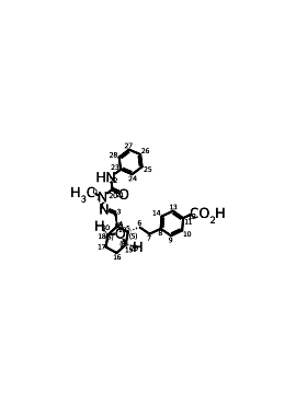 CN(N=C[C@H]1[C@H](CCc2ccc(C(=O)O)cc2)[C@H]2CC[C@@H]1O2)C(=O)Nc1ccccc1